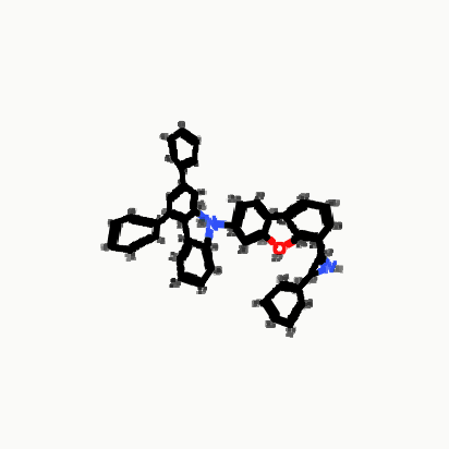 c1ccc(-c2cc(-c3ccccc3)c3c4ccccc4n(-c4ccc5c(c4)oc4c(C6=NC6c6ccccc6)cccc45)c3c2)cc1